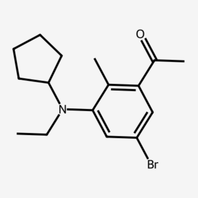 CCN(c1cc(Br)cc(C(C)=O)c1C)C1CCCC1